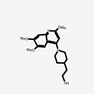 COc1cc(N2CCC(CCO)CC2)c2cc(OC)c(OC)cc2n1